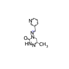 CC1=NNC(=O)N(/N=C/c2cccnc2)C1